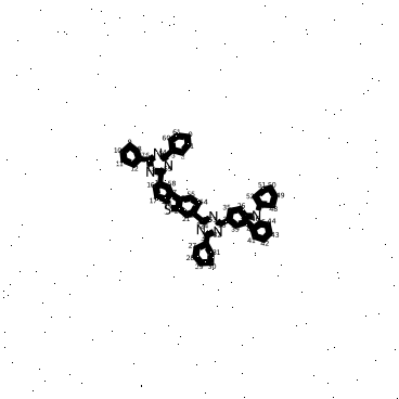 c1ccc(-c2nc(-c3ccccc3)nc(-c3ccc4sc5cc(-c6nc(-c7ccccc7)nc(-c7ccc8c(c7)c7ccccc7n8-c7ccccc7)n6)ccc5c4c3)n2)cc1